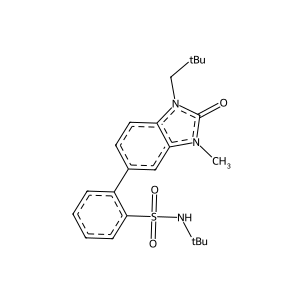 Cn1c(=O)n(CC(C)(C)C)c2ccc(-c3ccccc3S(=O)(=O)NC(C)(C)C)cc21